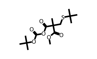 COC(=O)C(C)(CSC(C)(C)C)C(=O)OC(=O)OC(C)(C)C